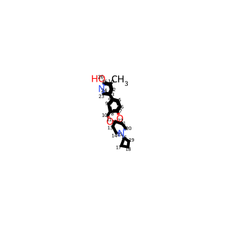 Cc1cc(-c2ccc3c(c2)COC2(CCN(C4CCC4)CC2)O3)cnc1O